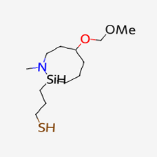 COCOC1CCC[SiH](CCCS)N(C)CC1